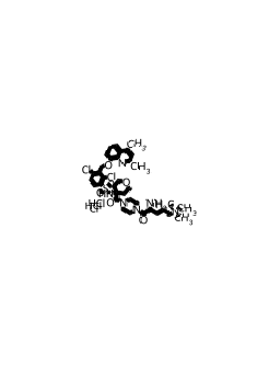 Cc1cc(C)c2cccc(OCc3c(Cl)ccc(S(=O)(=O)NC4(C(=O)N5CCN(C(=O)[C@@H](N)CCC[N+](C)(C)C)CC5)CCOCC4)c3Cl)c2n1.Cl.Cl.[Cl-]